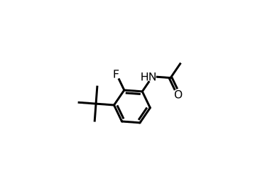 CC(=O)Nc1cccc(C(C)(C)C)c1F